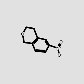 O=[N+]([O-])c1ccc2c(c1)CCOC2